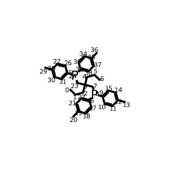 CCCC(CCC)(CP(c1ccc(C)cc1)c1ccc(C)cc1)CP(c1ccc(C)cc1)c1ccc(C)cc1